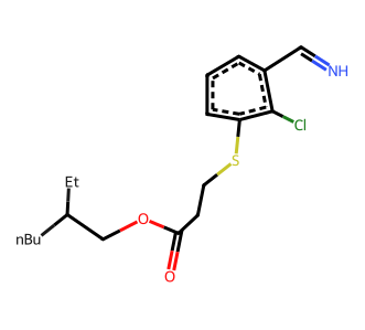 CCCCC(CC)COC(=O)CCSc1cccc(C=N)c1Cl